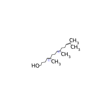 CC(C)=CCC/C(C)=C/CC/C(C)=C/CCCO